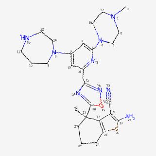 CN1CCN(c2cc(N3CCCNCC3)cc(-c3noc(C4(C)CCCc5sc(N)c(C#N)c54)n3)n2)CC1